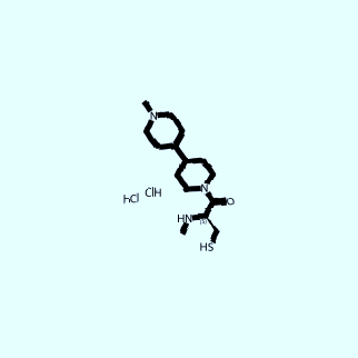 CN[C@H](CS)C(=O)N1CCC(C2CCN(C)CC2)CC1.Cl.Cl